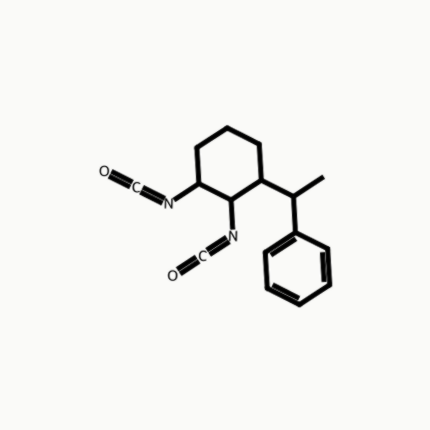 CC(c1ccccc1)C1CCCC(N=C=O)C1N=C=O